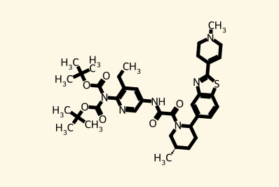 CCc1cc(NC(=O)C(=O)N2C[C@@H](C)CCC2c2ccc3sc(C4=CCN(C)CC4)nc3c2)cnc1N(C(=O)OC(C)(C)C)C(=O)OC(C)(C)C